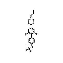 CCC[Si@H]1CC[C@H](c2cc(F)c(-c3ccc(OC(F)(F)F)cc3)c(F)c2)CC1